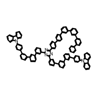 c1ccc(-c2cccc(-c3cccc(-c4cccc(-c5ccc(-c6ccc(-c7nc(-c8cccc(-c9cccc(-c%10cccc(-c%11ccc(-n%12c%13ccccc%13c%13ccccc%13%12)cc%11)c%10)c9)c8)nc(-c8cccc(-c9cccc(-c%10cccc(-c%11ccc(-n%12c%13ccccc%13c%13ccccc%13%12)cc%11)c%10)c9)c8)n7)cc6)cc5)c4)c3)c2)cc1